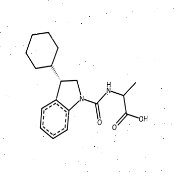 CC(NC(=O)N1C[C@@H](C2CCCCC2)c2ccccc21)C(=O)O